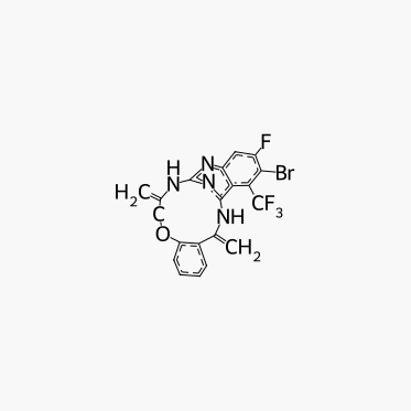 C=C1COc2ccccc2C(=C)Nc2nc(nc3cc(F)c(Br)c(C(F)(F)F)c23)N1